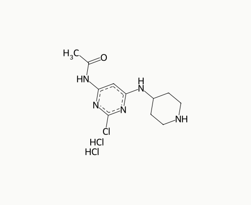 CC(=O)Nc1cc(NC2CCNCC2)nc(Cl)n1.Cl.Cl